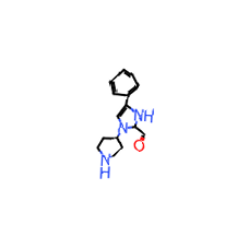 O=CC1NC(c2ccccc2)=CN1C1CCNCC1